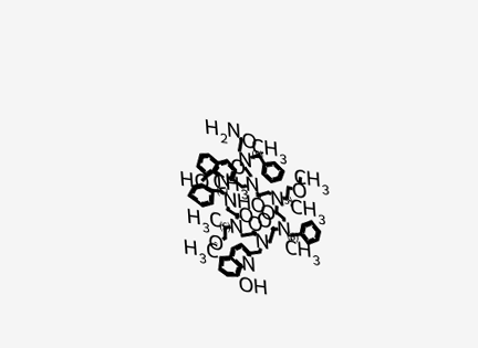 COC[C@H](C)N(CC(=O)N(CC(=O)N(CC(=O)N(CC(=O)N(CC(=O)N(CC(N)=O)[C@@H](C)c1ccccc1)Cc1ccc2cccc(O)c2n1)[C@@H](C)COC)[C@@H](C)c1ccccc1)Cc1ccc2cccc(O)c2n1)C(=O)CN[C@@H](C)c1ccccc1